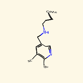 COCCNCc1cnc(C(C)(C)C)c(C#N)c1